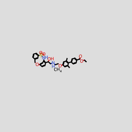 C.CCOC(=O)c1ccc(-c2c(C)cc(OCCNCC(O)c3ccc4cc3NS(=O)(=O)c3cccc(c3)CO4)cc2C)cc1